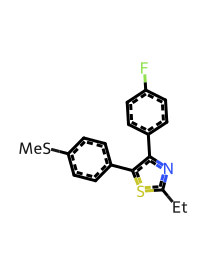 CCc1nc(-c2ccc(F)cc2)c(-c2ccc(SC)cc2)s1